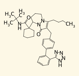 CCCCc1c(Cc2ccc(-c3ccccc3-c3nnn[nH]3)cc2)c(=O)n2n1CCCC2C1(C(=O)NC(C)(C)C)CCCCC1